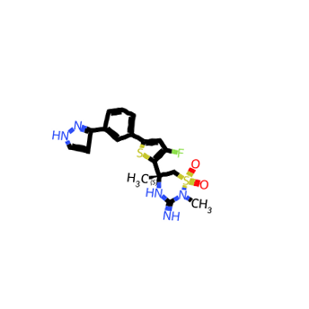 CN1C(=N)N[C@](C)(c2sc(-c3cccc(-c4cc[nH]n4)c3)cc2F)CS1(=O)=O